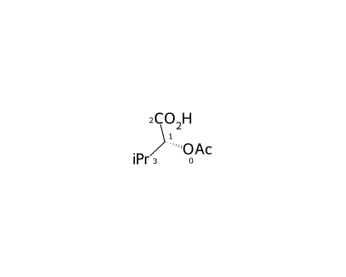 CC(=O)O[C@@H](C(=O)O)C(C)C